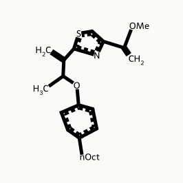 C=C(OC)c1csc(C(=C)C(C)Oc2ccc(CCCCCCCC)cc2)n1